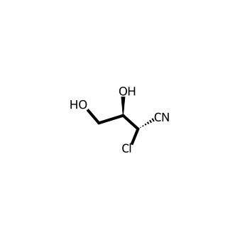 N#C[C@H](Cl)[C@H](O)CO